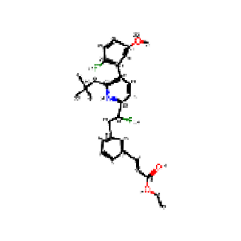 CCOC(=O)/C=C/c1cccc(CC(F)c2ccc(-c3cc(OC)ccc3F)c(CC(C)(C)C)n2)c1